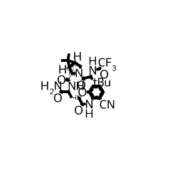 CC(C)(C)C(NC(=O)C(F)(F)F)C(=O)N1C[C@H]2[C@@H]([C@H]1C(=O)NC(C[C@@H]1Oc3cccc(C#N)c3NC1=O)C(N)=O)C2(C)C